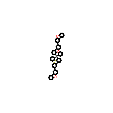 c1ccc([Si](c2ccccc2)(c2cccc3c2oc2ccc(-c4ccc5oc6ccccc6c5c4)cc23)c2cccc3c2sc2ccc(-c4ccc5oc6ccccc6c5c4)cc23)cc1